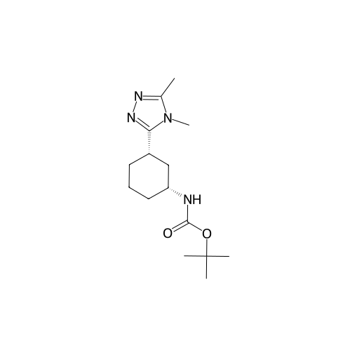 Cc1nnc([C@H]2CCC[C@@H](NC(=O)OC(C)(C)C)C2)n1C